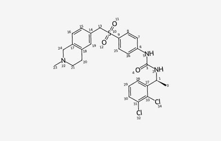 C[C@H](NC(=O)Nc1ccc(S(=O)(=O)Cc2ccc3c(c2)CCN(C)C3)cc1)c1cccc(Cl)c1Cl